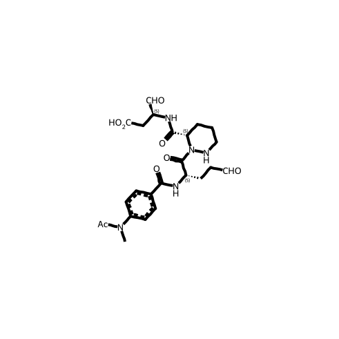 CC(=O)N(C)c1ccc(C(=O)N[C@@H](CCC=O)C(=O)N2NCCC[C@H]2C(=O)N[C@H](C=O)CC(=O)O)cc1